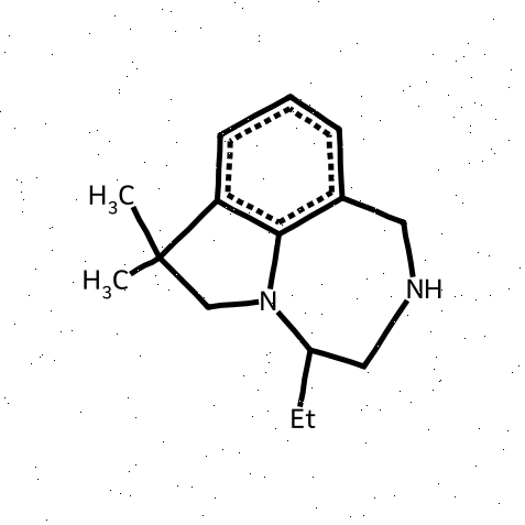 CCC1CNCc2cccc3c2N1CC3(C)C